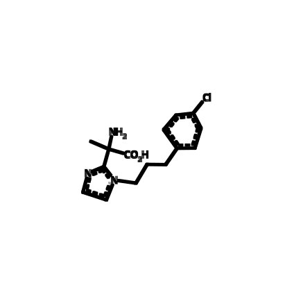 CC(N)(C(=O)O)c1nccn1CCCc1ccc(Cl)cc1